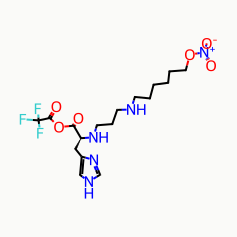 O=C(OC(=O)C(F)(F)F)[C@H](Cc1c[nH]cn1)NCCCNCCCCCCO[N+](=O)[O-]